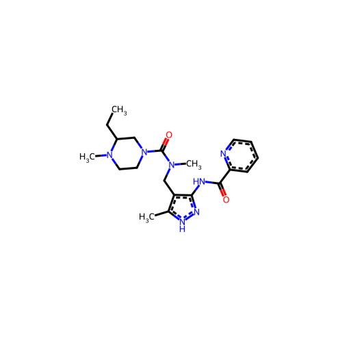 CCC1CN(C(=O)N(C)Cc2c(NC(=O)c3ccccn3)n[nH]c2C)CCN1C